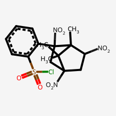 CC1(C)C2([N+](=O)[O-])CC([N+](=O)[O-])C1(C)C(c1ccccc1S(=O)(=O)Cl)([N+](=O)[O-])C2